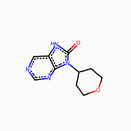 O=c1[nH]c2cncnc2n1C1CCOCC1